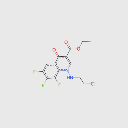 CCOC(=O)c1cn(NCCCl)c2c(F)c(F)c(F)cc2c1=O